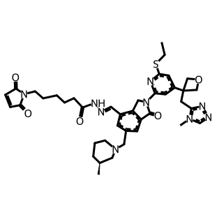 CCSc1cc(C2(Cc3nncn3C)COC2)cc(N2Cc3c(/C=N/NC(=O)CCCCCN4C(=O)C=CC4=O)cc(CN4CCC[C@H](C)C4)cc3C2=O)n1